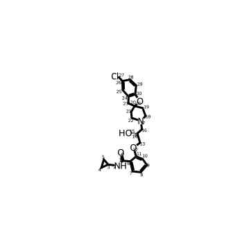 O=C(NC1CC1)c1ccccc1OC[C@H](O)CN1CCC2(CC1)Cc1cc(Cl)ccc1O2